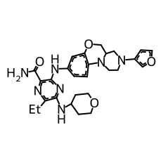 CCc1nc(C(N)=O)c(Nc2ccc3c(c2)OCC2CN(c4ccoc4)CCN32)nc1NC1CCOCC1